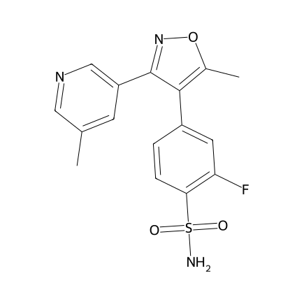 Cc1cncc(-c2noc(C)c2-c2ccc(S(N)(=O)=O)c(F)c2)c1